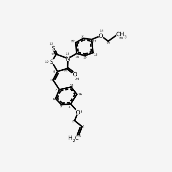 C=CCOc1ccc(C=C2SC(=S)N(c3ccc(OCC)cc3)C2=O)cc1